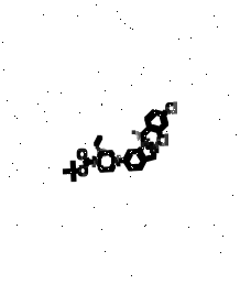 CC[C@@H]1CN(c2ccc3cnn([C@H](C)c4ccc(Cl)cc4Cl)c3c2)CCN1C(=O)OC(C)(C)C